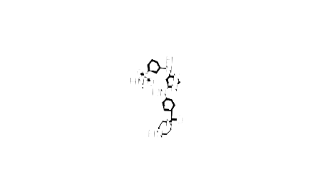 CNS(=O)(=O)c1cccc(Nc2cc(Nc3ccc(C(=O)N4CCNCC4)cc3)ncn2)c1